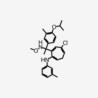 CONC(C)(C1=CC(Cl)=CCC=C1Nc1cccc(C)c1)c1ccc(OC(C)C)c(C)c1